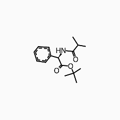 CC(C)C(=O)N[C@@H](C(=O)OC(C)(C)C)c1ccccc1